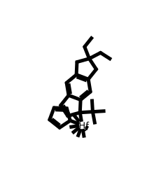 CCC1(CC)Cc2cc3c(cc2C1)[C](C(C)(C)C)([Hf]([CH3])([CH3])([CH3])([CH3])([CH3])([CH3])([CH3])[CH]1C=CC=C1)C=C3